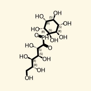 O=C([C@@H](O)[C@@H](O)[C@H](O)[C@H](O)CO)[PH](=O)[C@]1(O)[C@H](O)[C@H](O)[C@@H](O)[C@H](O)[C@H]1O